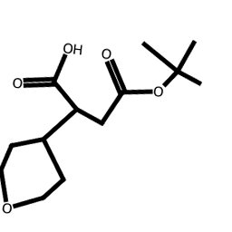 CC(C)(C)OC(=O)CC(C(=O)O)C1CCOCC1